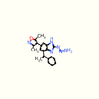 C=C(c1ccccc1)c1cc(-c2c(C)noc2C)cc2[nH]c(N=NN)nc12